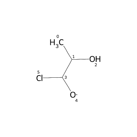 CC(O)C([O])Cl